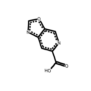 O=C(O)c1cc2ncoc2cn1